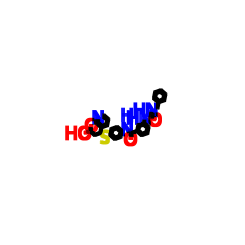 O=C(O)CC(Sc1ccc(NC(=O)c2cccc(NC(=O)NCc3ccccc3)c2)cc1)c1cccnc1